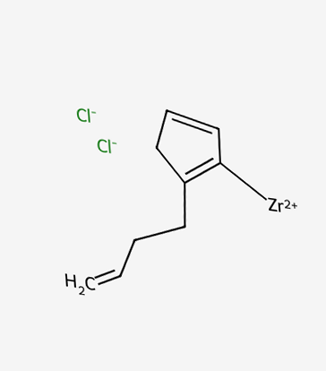 C=CCCC1=[C]([Zr+2])C=CC1.[Cl-].[Cl-]